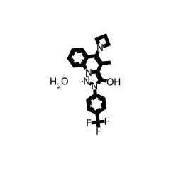 CC1=C(N2CCC2)c2ccccc2N2[N]N(c3ccc(C(F)(F)F)cc3)C(O)=C12.O